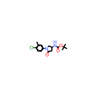 Cc1cc(N2CC(NC(=O)OC(C)(C)C)CC2=O)ccc1Cl